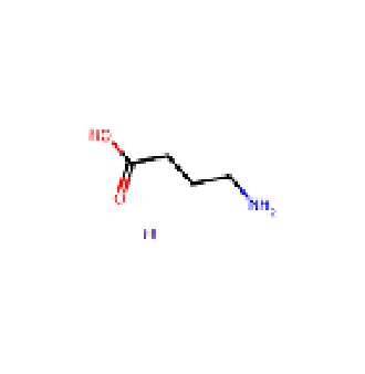 I.NCCCC(=O)O